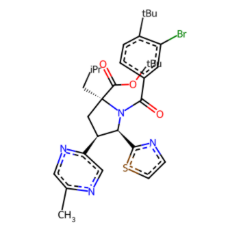 Cc1cnc([C@H]2C[C@@](CC(C)C)(C(=O)OC(C)(C)C)N(C(=O)c3ccc(C(C)(C)C)c(Br)c3)[C@H]2c2nccs2)cn1